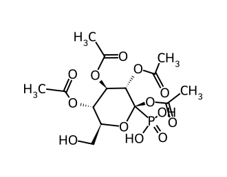 CC(=O)O[C@@H]1[C@@H](OC(C)=O)[C@H](OC(C)=O)[C@](OC(C)=O)(P(=O)(O)O)O[C@H]1CO